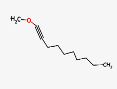 [CH2]OC#CCCCCCCCC